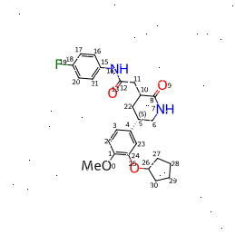 COc1ccc([C@H]2CNC(=O)C(CC(=O)Nc3ccc(F)cc3)C2)cc1OC1CCCC1